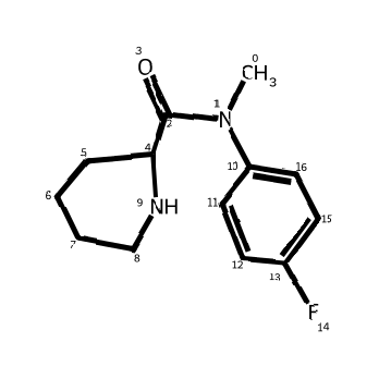 CN(C(=O)C1CCCCN1)c1ccc(F)cc1